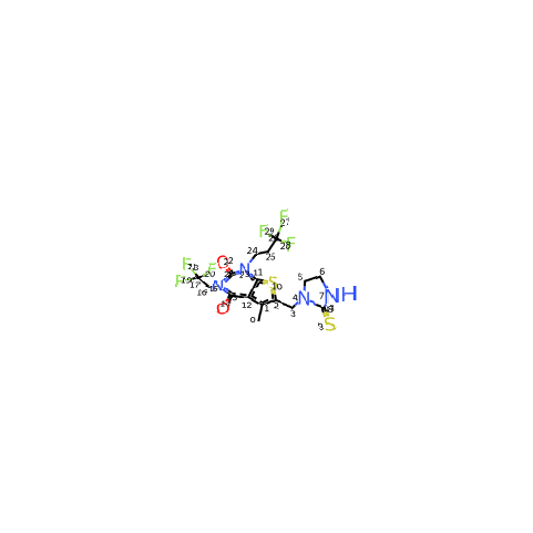 Cc1c(CN2CCNC2=S)sc2c1c(=O)n(CC(F)(F)F)c(=O)n2CCC(F)(F)F